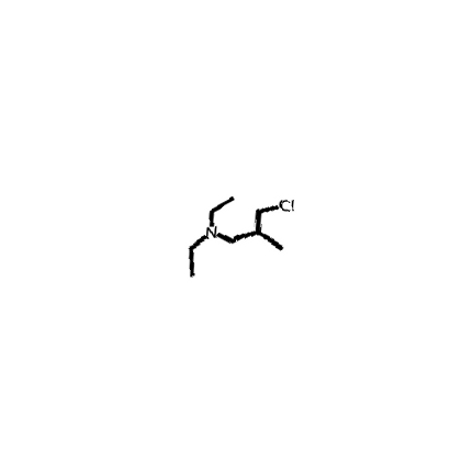 CCN(CC)CC(C)CCl